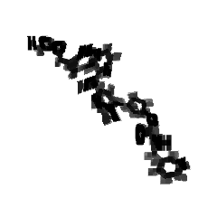 COCc1cc2c(Nc3cc([C@H]4CC[C@@H](OC(=O)NCc5cccnc5)C4)[nH]n3)nccn2n1